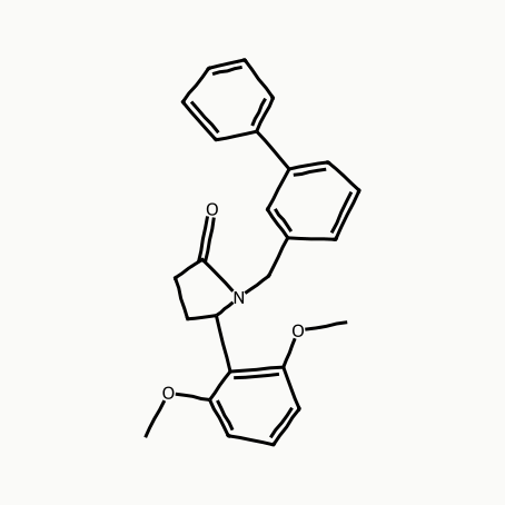 COc1cccc(OC)c1C1CCC(=O)N1Cc1cccc(-c2ccccc2)c1